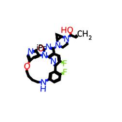 C=CC(O)N1CCN(c2nc(=O)n3c4nc(c(F)cc24)-c2cc(ccc2F)NCCCCOc2cnc(C(C)C)c-3c2)C2CC21